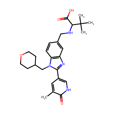 Cc1cc(-c2nc3cc(CNC(C(=O)O)C(C)(C)C)ccc3n2CC2CCOCC2)c[nH]c1=O